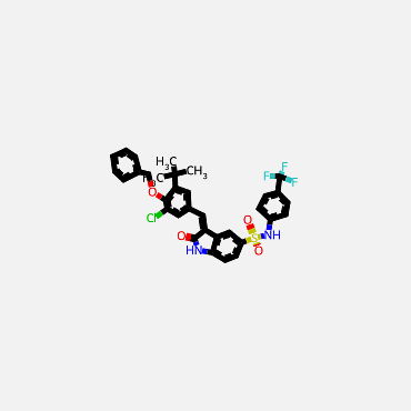 CC(C)(C)c1cc(C=C2C(=O)Nc3ccc(S(=O)(=O)Nc4ccc(C(F)(F)F)cc4)cc32)cc(Cl)c1OCc1ccccc1